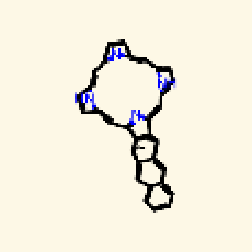 C1=Cc2cc3ccc(cc4nc(cc5ccc(cc1n2)[nH]5)C1=C4C2CCC1c1cc4ccccc4cc12)[nH]3